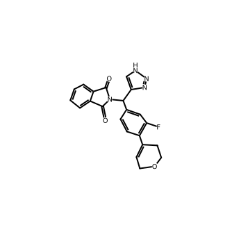 O=C1c2ccccc2C(=O)N1C(c1ccc(C2=CCOCC2)c(F)c1)c1c[nH]nn1